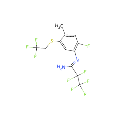 Cc1cc(F)c(/N=C(\N)C(F)(F)C(F)(F)F)cc1SCC(F)(F)F